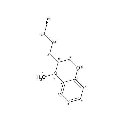 CN1c2ccccc2O[C]C1CCCF